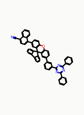 N#Cc1ccc(-c2ccc3c(c2)C2(c4cc(-c5cccc(-c6nc(-c7ccccc7)nc(-c7ccccc7)n6)c5)ccc4O3)c3ccccc3-c3ccccc32)c2ccccc12